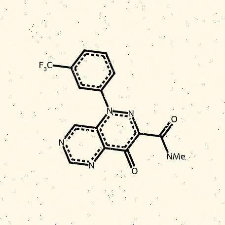 CNC(=O)c1nn(-c2cccc(C(F)(F)F)c2)c2cncnc2c1=O